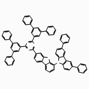 c1ccc(-c2cc(-c3ccccc3)cc(-c3nc(-c4cc(-c5ccccc5)cc(-c5ccccc5)c4)nc(-c4ccc5c(c4)sc4c(-n6c7ccc(-c8ccccc8)cc7c7cc(-c8ccccc8)ccc76)cccc45)n3)c2)cc1